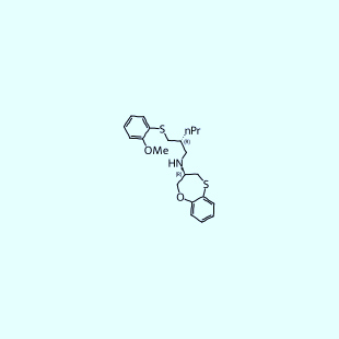 CCC[C@H](CN[C@@H]1COc2ccccc2SC1)CSc1ccccc1OC